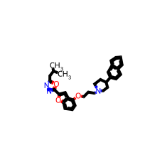 CC(C)Cc1nnc(-c2cc3c(OCCCN4CCC(c5ccc6ccccc6c5)CC4)cccc3o2)o1